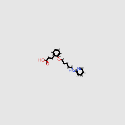 O=C(O)CCc1ccccc1OCCCCCNc1ccccn1